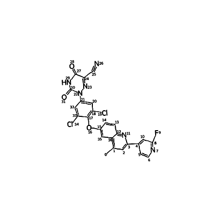 Cc1cc(-c2ccnc(F)c2)nc2ccc(Oc3c(Cl)cc(-n4nc(C#N)c(=O)[nH]c4=O)cc3Cl)cc12